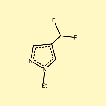 CCn1cc(C(F)F)[c]n1